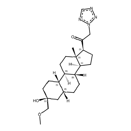 COC[C@]1(O)CC[C@H]2[C@H](CC[C@@H]3[C@@H]2CC[C@]2(C)[C@@H](C(=O)Cn4ncnn4)CC[C@@H]32)C1